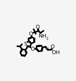 CC(N)C(=O)C(C)(C)Oc1ccc2c(Oc3ccc(/C=C/C(=O)O)cc3)c(-c3ccccc3C(C)C)sc2c1